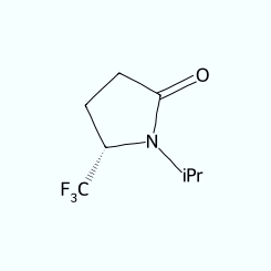 CC(C)N1C(=O)CC[C@H]1C(F)(F)F